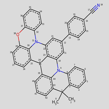 CC1(C)c2ccccc2N2c3cc(-c4ccc(C#N)cc4)cc4c3B(c3cccc5c3N4c3ccccc3O5)c3cccc1c32